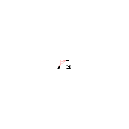 C[B]C.[Si]